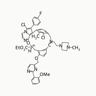 CCOC(=O)[C@H]1Cc2cc(ccc2OCc2ccnc(-c3ccccc3OC)n2)CN(CCN2CCN(C)CC2)Cc2ccc(c(C)c2Cl)-c2c(-c3ccc(F)cc3)c(Cl)n3ccnc(c23)O1